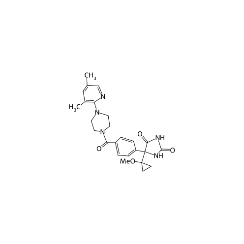 COC1(C2(c3ccc(C(=O)N4CCN(c5ncc(C)cc5C)CC4)cc3)NC(=O)NC2=O)CC1